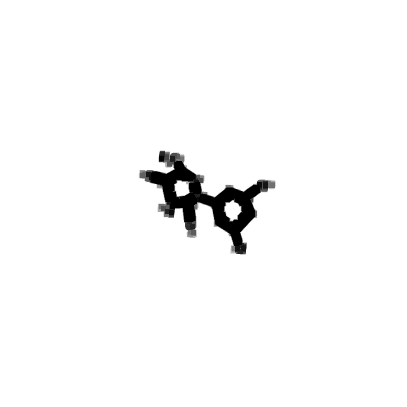 Cc1nn(-c2cc(Cl)cc(Cl)c2)c(=O)[nH]c1=S